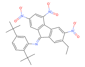 CCc1cc2c(cc1[N+](=O)[O-])-c1c(cc([N+](=O)[O-])cc1[N+](=O)[O-])C2=Nc1cc(C(C)(C)C)ccc1C(C)(C)C